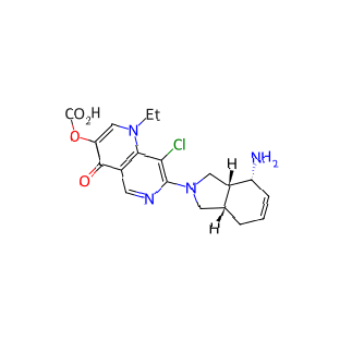 CCn1cc(OC(=O)O)c(=O)c2cnc(N3C[C@H]4CC=C[C@@H](N)[C@H]4C3)c(Cl)c21